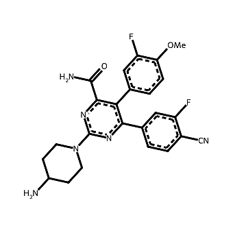 COc1ccc(-c2c(C(N)=O)nc(N3CCC(N)CC3)nc2-c2ccc(C#N)c(F)c2)cc1F